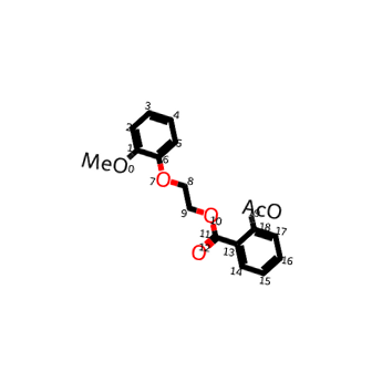 COc1ccccc1OCCOC(=O)c1ccccc1OC(C)=O